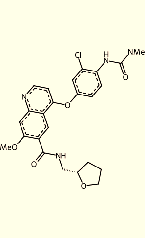 CNC(=O)Nc1ccc(Oc2ccnc3cc(OC)c(C(=O)NC[C@@H]4CCCO4)cc23)cc1Cl